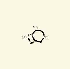 C1CNCCN1.N.O=CO